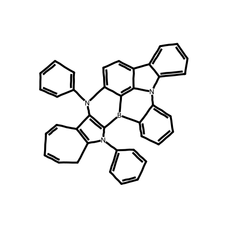 C1=CCc2c(c3c(n2-c2ccccc2)B2c4ccccc4-n4c5ccccc5c5ccc(c2c54)N3c2ccccc2)C=C1